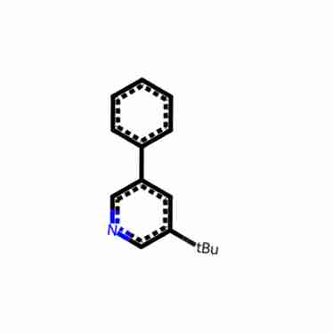 CC(C)(C)c1cncc(-c2ccccc2)c1